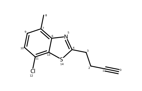 C#CCCc1nc2c(C)ccc(Cl)c2s1